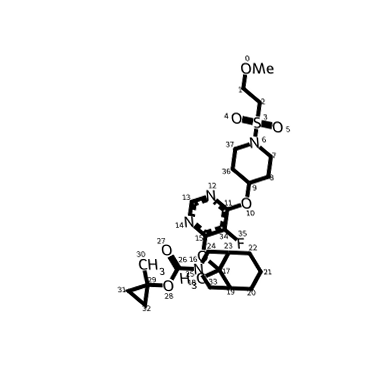 COCCS(=O)(=O)N1CCC(Oc2ncnc(OC3(C)C4CCCC3CN(C(=O)OC3(C)CC3)C4)c2F)CC1